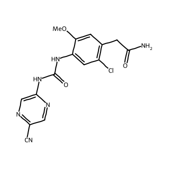 COc1cc(CC(N)=O)c(Cl)cc1NC(=O)Nc1cnc(C#N)cn1